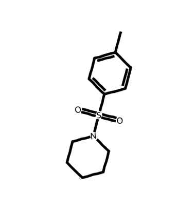 Cc1ccc(S(=O)(=O)N2CC[CH]CC2)cc1